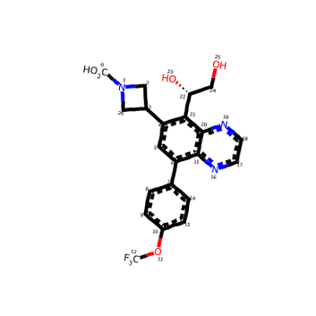 O=C(O)N1CC(c2cc(-c3ccc(OC(F)(F)F)cc3)c3nccnc3c2[C@H](O)CO)C1